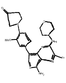 CCc1nc2c(N)ncc(-c3ccc(N4CCC(=O)CC4)c(OC)c3)c2nc1NC1CCOCC1